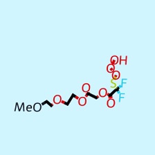 COCCOCCOC(=O)COC(=O)C(F)(F)SOOO